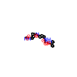 CN(CC(=O)[C@@]1(C)CCCC2(C)c3cc(NC(=O)OC(C)(C)C)ccc3CCC21)C(=O)[C@@]1(C)CCCC2(C)c3cc(NC(=O)C(CO)NC(=O)OCC4c5ccccc5-c5ccccc54)ccc3CCC21